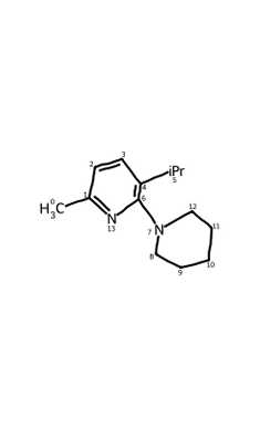 Cc1ccc(C(C)C)c(N2CCCCC2)n1